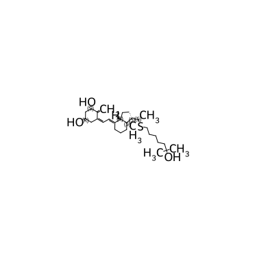 C=C1C(=CC=C2CCC[C@]3(C)[C@@H]([C@H](C)SCCCCCC(C)(C)O)CC[C@@H]23)C[C@@H](O)C[C@@H]1O